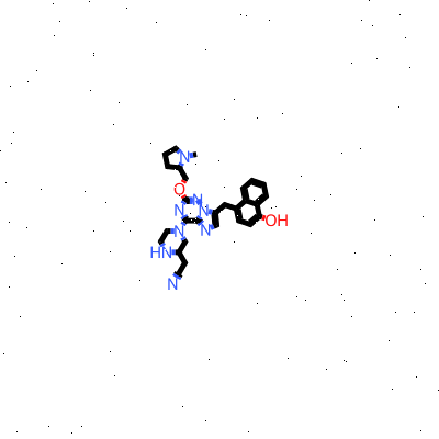 CN1CCCC1COc1nc(N2CCNC(CC#N)C2)c2ncc(Cc3ccc(O)c4ccccc34)n2n1